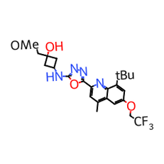 COC[C@]1(O)C[C@@H](Nc2nnc(-c3cc(C)c4cc(OCC(F)(F)F)cc(C(C)(C)C)c4n3)o2)C1